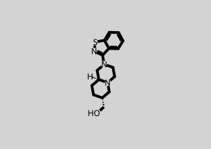 OC[C@@H]1CC[C@H]2CN(c3nsc4ccccc34)CCN2C1